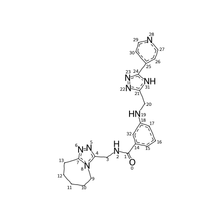 O=C(NCc1nnc2n1CCCCC2)c1cccc(NCc2nnc(-c3ccncc3)[nH]2)c1